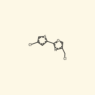 ClCc1coc(-c2cc(Cl)cs2)n1